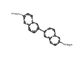 CCCCCCCc1ccc2cc(-c3ccc4cc(CCCCCCC)ccc4c3)ccc2c1